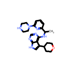 CC(Nc1ncnc2[nH]cc(C3CCOCC3)c12)c1cccc(N2CCNCC2)n1